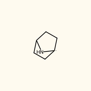 C1CC2CC[C]1N2